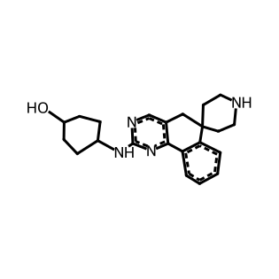 OC1CCC(Nc2ncc3c(n2)-c2ccccc2C2(CCNCC2)C3)CC1